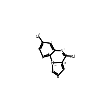 Clc1ccc2c(c1)nc(Cl)c1cccn12